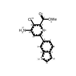 COC(=O)c1nc(-c2ccc3ccsc3c2)cc(N)c1Cl